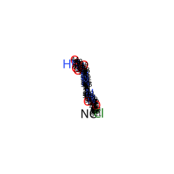 CC1(C)[C@H](Oc2ccc(C#N)c(Cl)c2)C(C)(C)[C@H]1N1Cc2nc(C#CC3CCN(C4CN(c5ccc6c(c5)C(=O)N(C5CCC(=O)NC5=O)C6=O)C4)CC3)ccc2C1=O